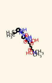 CC(C)Cc1cccc2[nH]c(Cn3cccc(NC(=O)C(CC/C=C/C(=O)CC(O)N(C)C)NC(=O)O)c3=O)nc12